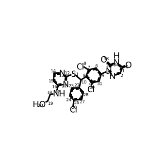 O=c1cnn(-c2cc(Cl)c(C(Sc3nccc(NCCO)n3)c3ccc(Cl)cc3)c(Cl)c2)c(=O)[nH]1